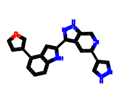 c1cc(-c2ccoc2)c2cc(-c3n[nH]c4cnc(-c5cn[nH]c5)cc34)[nH]c2c1